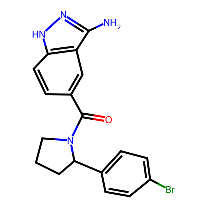 Nc1n[nH]c2ccc(C(=O)N3CCCC3c3ccc(Br)cc3)cc12